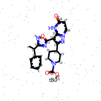 CC(c1ccccc1)c1noc(-c2c(C3CCN(C(=O)OC(C)(C)C)CC3)nn3ccc(=O)[nH]c23)n1